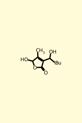 CCC(C)C(O)C1=C(C)C(O)OC1=O